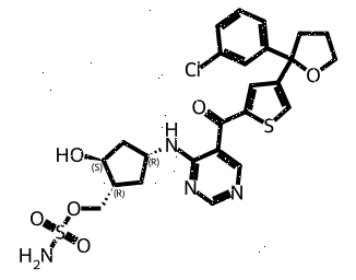 NS(=O)(=O)OC[C@H]1C[C@@H](Nc2ncncc2C(=O)c2cc(C3(c4cccc(Cl)c4)CCCO3)cs2)C[C@@H]1O